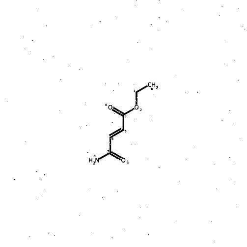 CCOC(=O)/C=C/C(N)=O